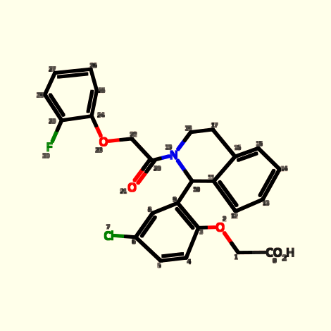 O=C(O)COc1ccc(Cl)cc1C1c2ccccc2CCN1C(=O)COc1ccccc1F